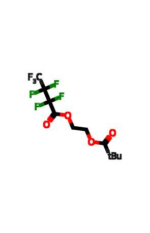 CC(C)(C)C(=O)OCCOC(=O)C(F)(F)C(F)(F)C(F)(F)F